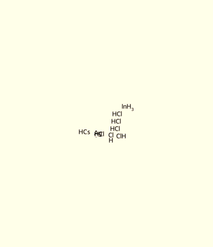 Cl.Cl.Cl.Cl.Cl.Cl.[Ag].[CsH].[InH3]